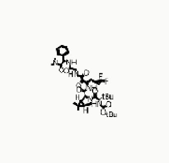 CN(C)C(=O)C(NC(=O)CNC(=O)C(=O)C(CC1CC1(F)F)NC(=O)[C@@H]1[C@@H]2[C@H](CN1C(=O)[C@@H](NC(=O)OC(C)(C)C)C(C)(C)C)C2(C)C)c1ccccc1